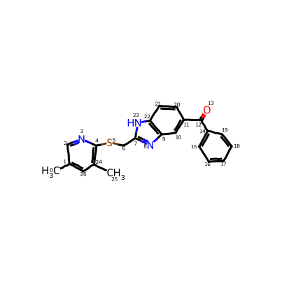 Cc1cnc(SCc2nc3cc(C(=O)c4ccccc4)ccc3[nH]2)c(C)c1